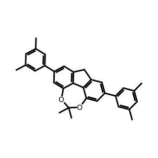 Cc1cc(C)cc(-c2cc3c4c(c2)OC(C)(C)Oc2cc(-c5cc(C)cc(C)c5)cc(c2-4)C3)c1